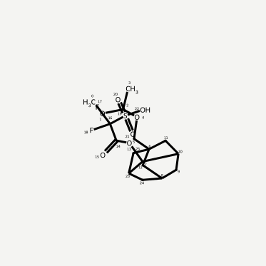 COC(C)OCC12CC3CC(C1)C(OC(=O)C(F)(F)S(=O)(=O)O)C(C3)C2